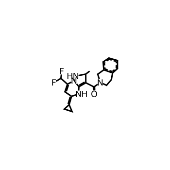 CC1NN2C(C(F)F)=CC(=C3CC3)NC2=C1C(=O)N1CCc2ccccc2C1